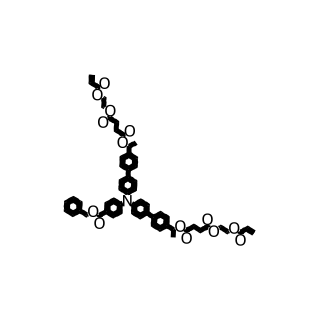 C=CC(=O)OCCOC(=O)CCC(=O)OC(C)c1ccc(-c2ccc(N(c3ccc(C(=O)OCc4ccccc4)cc3)c3ccc(-c4ccc(C(C)OC(=O)CCC(=O)OCCOC(=O)C=C)cc4)cc3)cc2)cc1